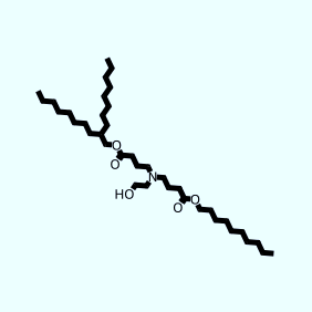 CCCCCCCCCCOC(=O)CCCN(CCO)CCCC(=O)OCC(CCCCCCCC)CCCCCCCC